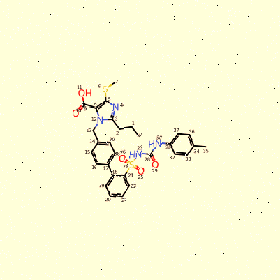 CCCc1nc(SC)c(C(=O)O)n1Cc1ccc(-c2ccccc2S(=O)(=O)NC(=O)Nc2ccc(C)cc2)cc1